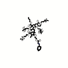 CCCCOC(=O)C(C)(CC(CC(CCC)C(=O)OCCC[Si](C)(C)C)C(=O)OCCC(F)(F)C(C)(F)F)CC(CC(C)(CC(CC)C(=O)OCCC[Si](C)(C)OC)C(=O)OCCOC(=O)/C=C/c1ccccc1)C(=O)OCCC(F)(F)C(C)(F)F